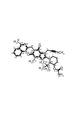 CC#CCn1c(N2CCCC(OC(N)=O)[C@H]2C(C)(C)C)nc2c1c(=O)n(Cc1nc(C)c3ccccc3n1)c(=O)n2C